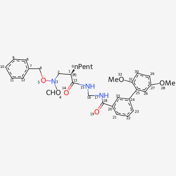 CCCCC[C@H](CN(C=O)OCc1ccccc1)C(=O)NCNC(=O)c1cccc(-c2cc(OC)ccc2OC)c1